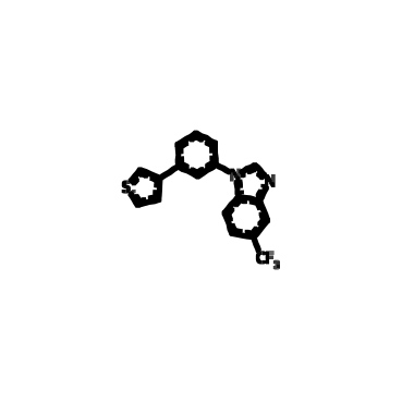 FC(F)(F)c1ccc2c(c1)ncn2-c1cccc(-c2ccsc2)c1